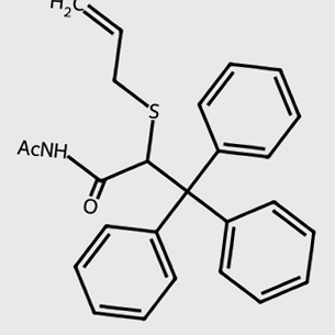 C=CCSC(C(=O)NC(C)=O)C(c1ccccc1)(c1ccccc1)c1ccccc1